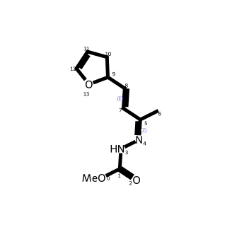 COC(=O)N/N=C(C)\C=C\C1CC=CO1